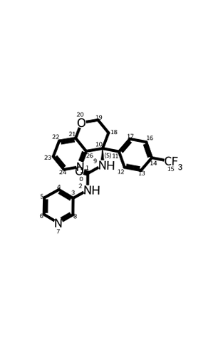 O=C(Nc1cccnc1)N[C@]1(c2ccc(C(F)(F)F)cc2)CCOc2cccnc21